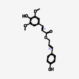 COc1cc(/C=C/C(=O)OC/C=C/c2ccc(O)cc2)cc(OC)c1O